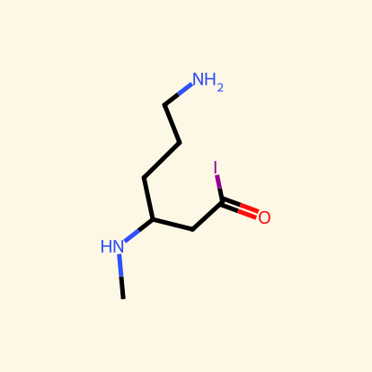 CNC(CCCN)CC(=O)I